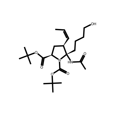 C/C=C\[C@@H]1C[C@H](C(=O)OC(C)(C)C)N(C(=O)OC(C)(C)C)[C@@]1(CCCCO)NC(C)=O